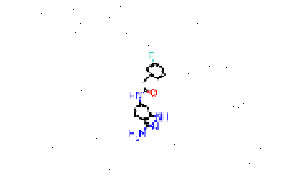 Nc1n[nH]c2cc(NC(=O)Cc3cccc(F)c3)ccc12